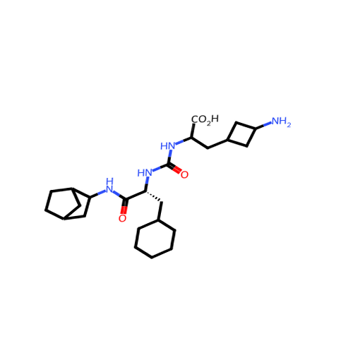 NC1CC(CC(NC(=O)N[C@H](CC2CCCCC2)C(=O)NC2CC3CCC2C3)C(=O)O)C1